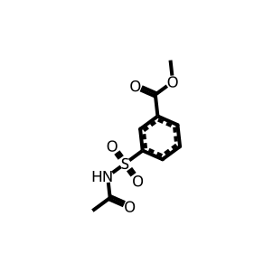 COC(=O)c1cccc(S(=O)(=O)NC(C)=O)c1